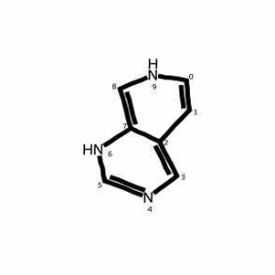 C1=CC2=CN=CNC2=CN1